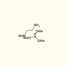 CNCCN.CO[SiH](OC)OC